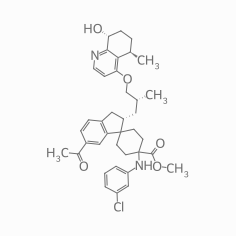 COC(=O)C1(Nc2cccc(Cl)c2)CCC2(CC1)c1cc(C(C)=O)ccc1C[C@@H]2C[C@@H](C)COc1ccnc2c1[C@H](C)CC[C@H]2O